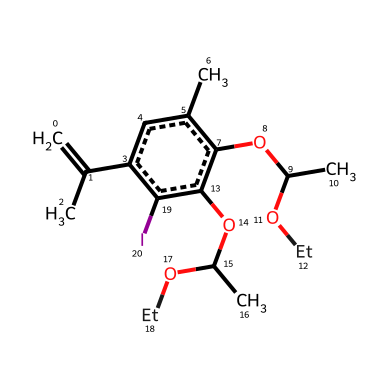 C=C(C)c1cc(C)c(OC(C)OCC)c(OC(C)OCC)c1I